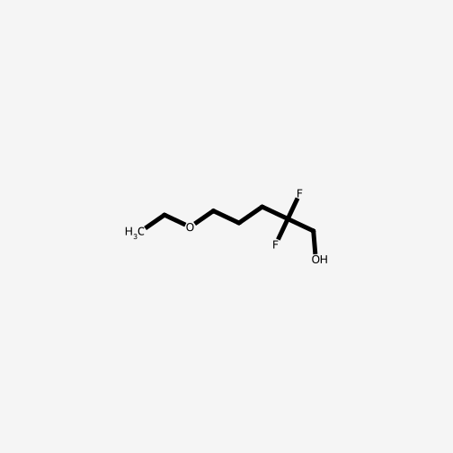 CCOCCCC(F)(F)CO